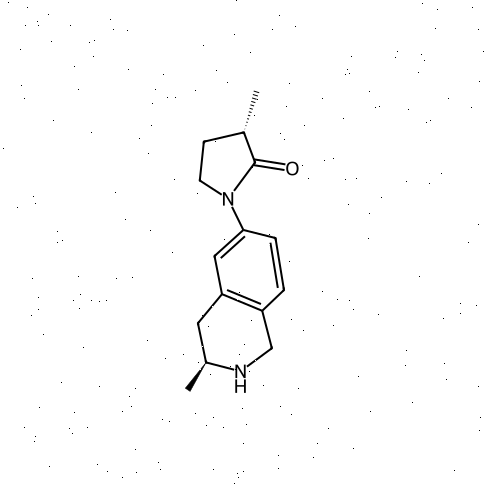 C[C@H]1Cc2cc(N3CC[C@H](C)C3=O)ccc2CN1